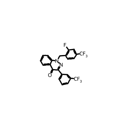 O=c1c(-c2cccc(C(F)(F)F)c2)nn(Cc2ccc(C(F)(F)F)cc2F)c2ccccc12